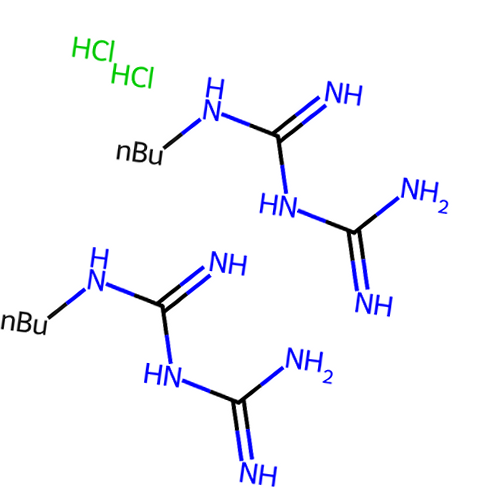 CCCCNC(=N)NC(=N)N.CCCCNC(=N)NC(=N)N.Cl.Cl